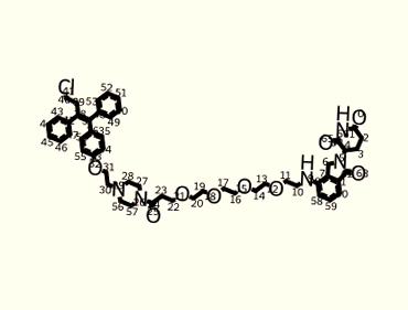 O=C1CCC(N2Cc3c(NCCOCCOCCOCCOCCC(=O)N4CCN(CCOc5ccc(/C(=C(/CCCl)c6ccccc6)c6ccccc6)cc5)CC4)cccc3C2=O)C(=O)N1